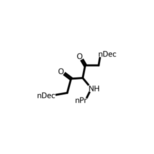 CCCCCCCCCCCC(=O)C(NCCC)C(=O)CCCCCCCCCCC